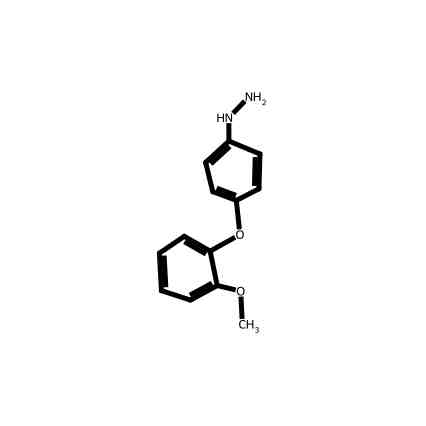 COc1ccccc1Oc1ccc(NN)cc1